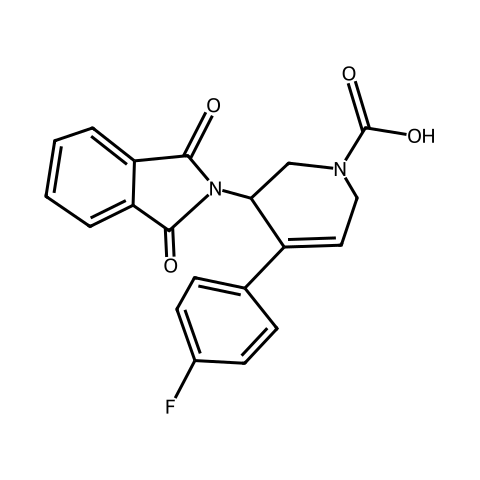 O=C(O)N1CC=C(c2ccc(F)cc2)C(N2C(=O)c3ccccc3C2=O)C1